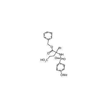 COc1ccc(S(=O)(=O)NC(CCC(=O)O)(C(=O)OCc2ccccc2)C(C)C)cc1